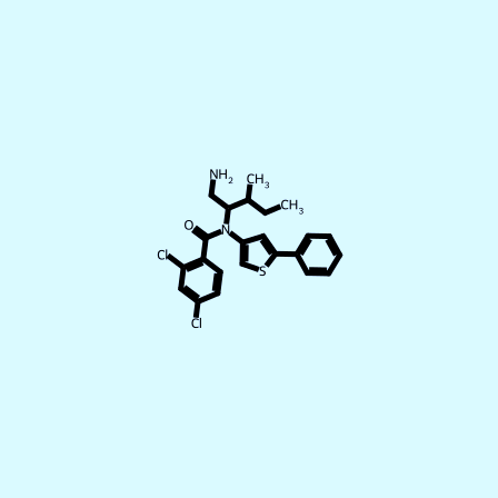 CCC(C)C(CN)N(C(=O)c1ccc(Cl)cc1Cl)c1csc(-c2ccccc2)c1